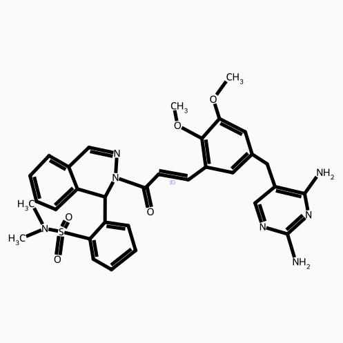 COc1cc(Cc2cnc(N)nc2N)cc(/C=C/C(=O)N2N=Cc3ccccc3C2c2ccccc2S(=O)(=O)N(C)C)c1OC